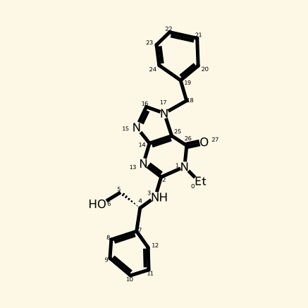 CCn1c(N[C@@H](CO)c2ccccc2)nc2ncn(Cc3ccccc3)c2c1=O